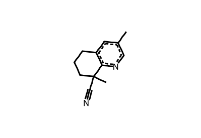 Cc1cnc2c(c1)CCCC2(C)C#N